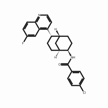 O=C(N[C@@H]1CC[C@@H]2C[C@@H]1CC[C@@H]2c1ccnc2ccc(F)cc12)c1ccc(Cl)cc1